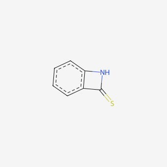 S=C1Nc2ccccc21